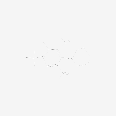 O=[N+]([O-])c1cc(C(F)(F)F)c(Cl)c([N+](=O)[O-])c1N1CCOCC1